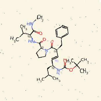 CNC(=O)[C@@H](NC(=O)[C@@H]1CCCN1C(=O)[C@H](/C=C/[C@H](CC(C)C)NC(=O)OC(C)(C)C)Cc1ccccc1)C(C)C